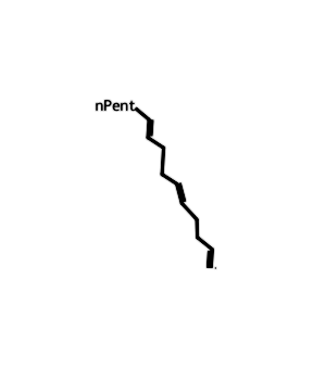 [CH]=CCCC=CCCC=CCCCCC